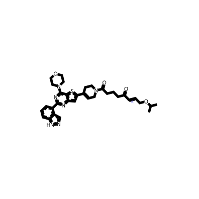 CC(C)OC/C=C/C(=O)CCCC(=O)N1CC=C(c2cc3nc(-c4cccc5[nH]ncc45)nc(N4CCOCC4)c3s2)CC1